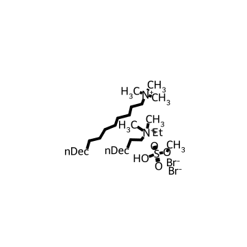 CCCCCCCCCCCCCCCCCC[N+](C)(C)C.CCCCCCCCCCCC[N+](C)(C)CC.COS(=O)(=O)O.[Br-].[Br-]